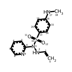 C=CNN(c1ccccn1)S(=O)(=O)c1ccc(NC)cc1